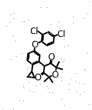 CC1(C)OC(C)(C)C(=O)C(c2cc(Oc3ccc(Cl)cc3Cl)ccc2C2CC2)C1=O